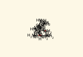 N=C(N)NCCC[C@@H](N)C(=O)N[C@H](CCCNC(=N)N)C(=O)N[C@H](CCCNC(=N)N)C(=O)N[C@H](CCCNC(=N)N)C(=O)N[C@H](CCCNC(=N)N)C(=O)N[C@H](CCCNC(=N)N)C(N)=O